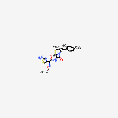 N#Cc1ccc(C=CC2(C(=O)O)CS[C@@H]3C(NC(=O)C(=NOCC(=O)O)c4csc(N)n4)C(=O)N3C2)c(C#N)c1